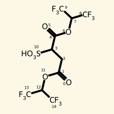 O=C(CC(C(=O)OC(C(F)(F)F)C(F)(F)F)S(=O)(=O)O)OC(C(F)(F)F)C(F)(F)F